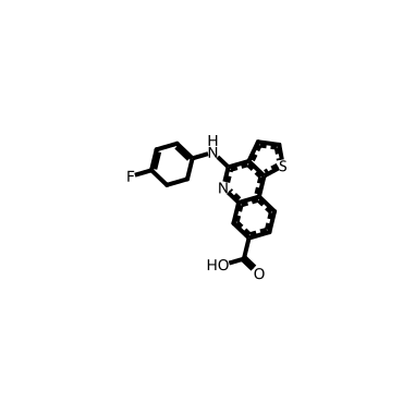 O=C(O)c1ccc2c(c1)nc(NC1=CC=C(F)CC1)c1ccsc12